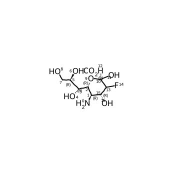 N[C@H]1[C@H]([C@H](O)[C@H](O)CO)O[C@](O)(C(=O)O)C(F)[C@@H]1O